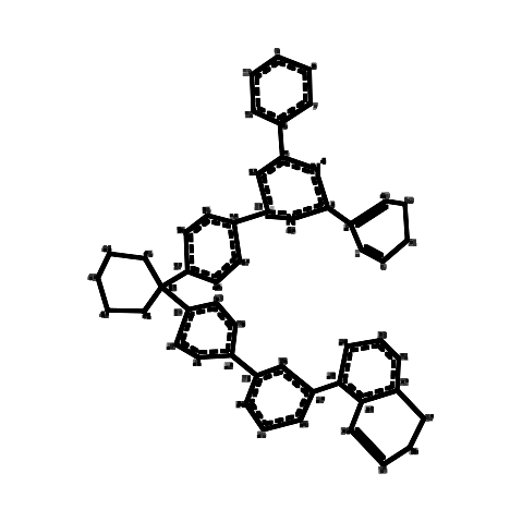 C1=CC(c2nc(-c3ccccc3)cc(-c3ccc(C4(c5ccc(-c6cccc(-c7cccc8c7C=CCC8)c6)cc5)CCCCC4)cc3)n2)=CCC1